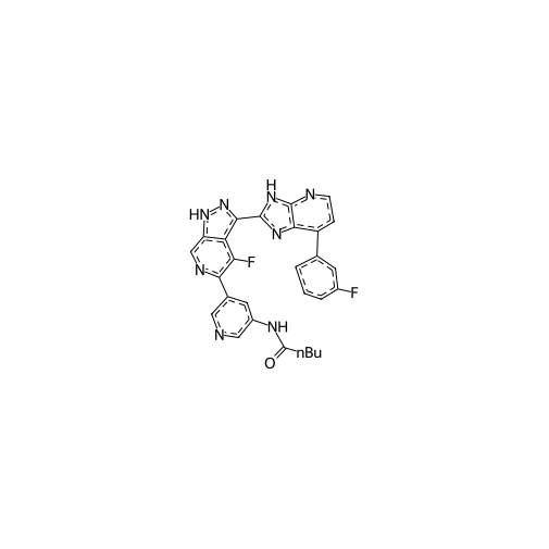 CCCCC(=O)Nc1cncc(-c2ncc3[nH]nc(-c4nc5c(-c6cccc(F)c6)ccnc5[nH]4)c3c2F)c1